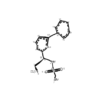 CCOC(=O)C[C@H](NS(=O)(=O)C(C)(C)C)c1cccc(-c2ccccc2)n1